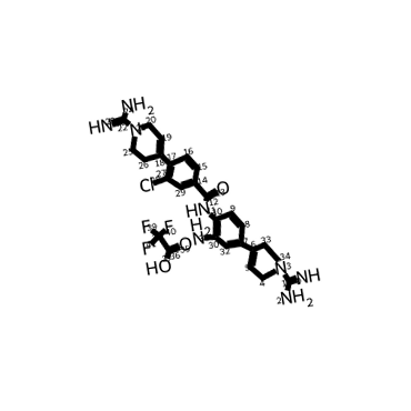 N=C(N)N1CC=C(c2ccc(NC(=O)c3ccc(C4=CCN(C(=N)N)CC4)c(Cl)c3)c(N)c2)CC1.O=C(O)C(F)(F)F